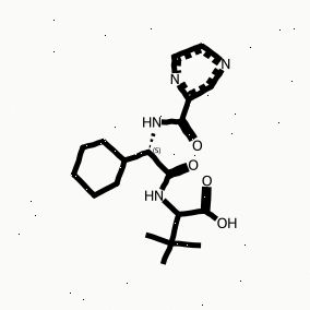 CC(C)(C)C(NC(=O)[C@@H](NC(=O)c1cnccn1)C1CCCCC1)C(=O)O